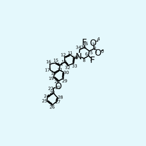 COC(OC)C1C(F)CN(c2ccc(C3=CCCc4cc(OCc5ccccc5)ccc43)cc2)CC1F